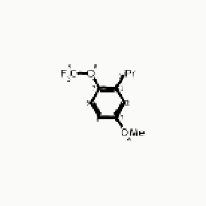 [CH2]C(C)c1cc(OC)ccc1OC(F)(F)F